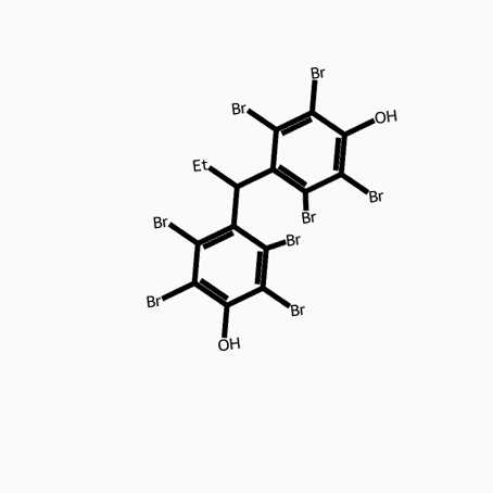 CCC(c1c(Br)c(Br)c(O)c(Br)c1Br)c1c(Br)c(Br)c(O)c(Br)c1Br